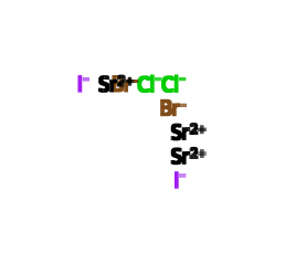 [Br-].[Br-].[Cl-].[Cl-].[I-].[I-].[Sr+2].[Sr+2].[Sr+2]